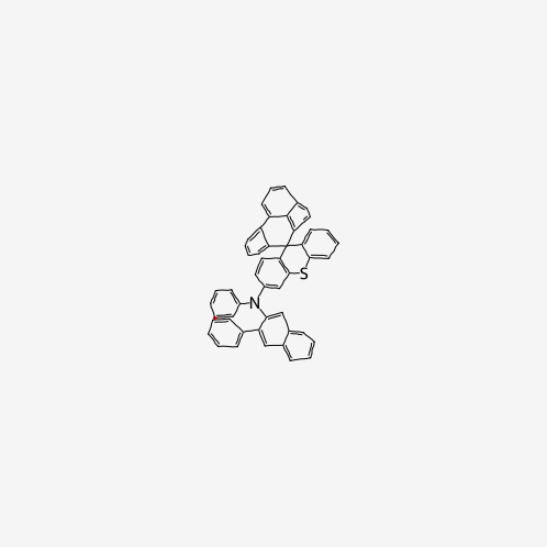 c1ccc(-c2cc3ccccc3cc2N(c2ccccc2)c2ccc3c(c2)Sc2ccccc2C32c3ccccc3-c3cccc4cccc2c34)cc1